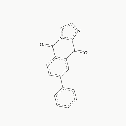 O=C1c2cc(-c3ccccc3)ccc2C(=O)n2ccnc21